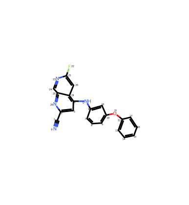 N#Cc1cc(Nc2cccc(Oc3ccccc3)c2)c2cc(F)ncc2n1